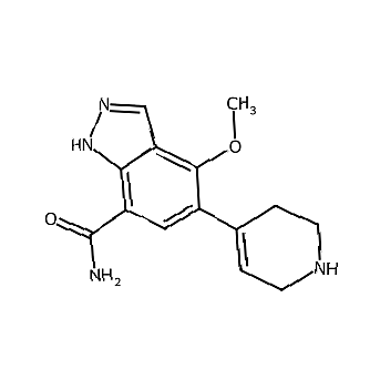 COc1c(C2=CCNCC2)cc(C(N)=O)c2[nH]ncc12